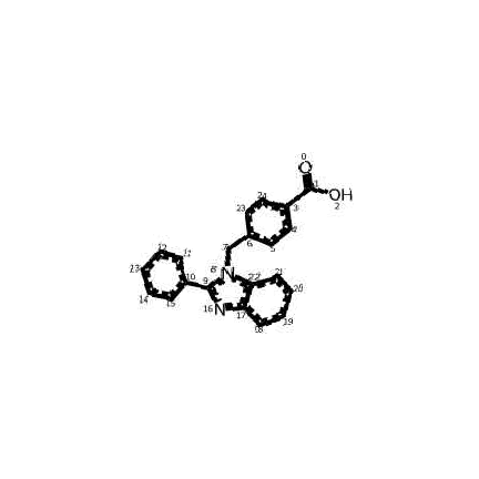 O=C(O)c1ccc(Cn2c(-c3ccccc3)nc3ccccc32)cc1